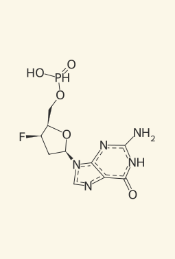 Nc1nc2c(ncn2[C@H]2C[C@@H](F)[C@@H](CO[PH](=O)O)O2)c(=O)[nH]1